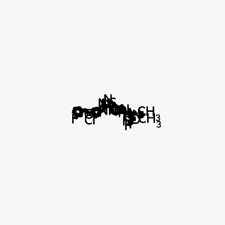 CC(C)NC[C@H](Cn1cc2c(n1)CCc1c-2sc2ncnc(Nc3ccc(OCc4cccc(F)c4)c(Cl)c3)c12)OC(=O)C(F)(F)F